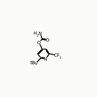 CC(C)(C)c1cc(OC(N)=O)cc(C(F)(F)F)n1